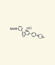 CNc1cccc(-c2coc3cc(-c4ccc(N5CCN(C)CC5)cc4)cnc23)c1.Cl